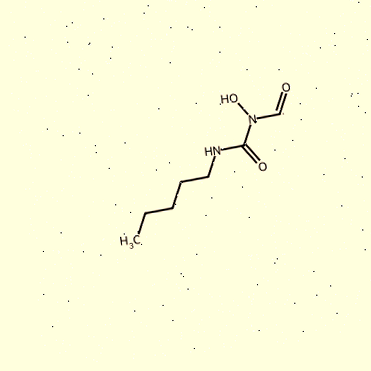 CCCCCNC(=O)N(O)[C]=O